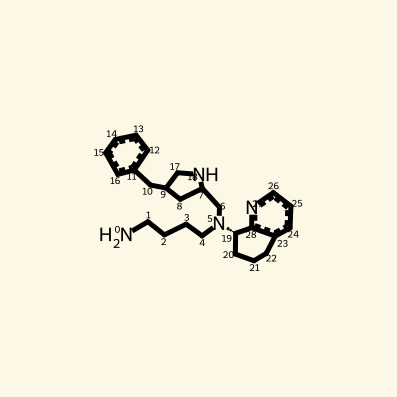 NCCCCN(CC1CC(Cc2ccccc2)CN1)[C@H]1CCCc2cccnc21